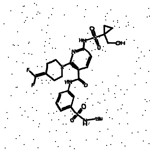 CC(C)(C)NS(=O)(=O)c1cccc(NC(=O)c2ccc(NS(=O)(=O)C3(CO)CC3)nc2N2CCC(=C(F)F)CC2)c1